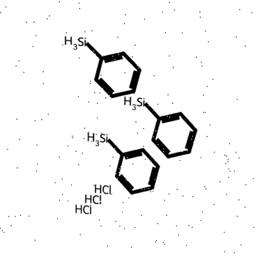 Cl.Cl.Cl.[SiH3]c1ccccc1.[SiH3]c1ccccc1.[SiH3]c1ccccc1